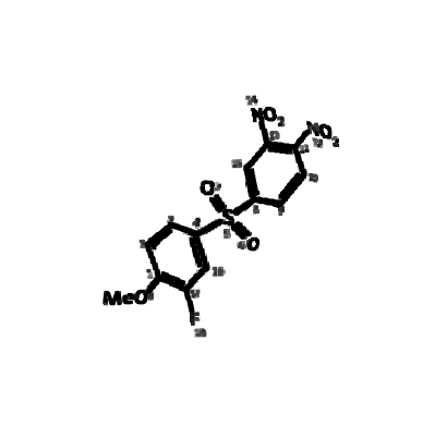 COc1ccc(S(=O)(=O)c2ccc([N+](=O)[O-])c([N+](=O)[O-])c2)cc1F